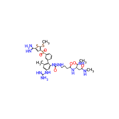 CNC(=O)CC(NC(=O)CCCNC(=O)Nc1cc(NC(=N)N)cc(C)c1-c1cccc(S(=O)(=O)c2cc(C(=N)N)sc2SC)c1)C(=O)NC